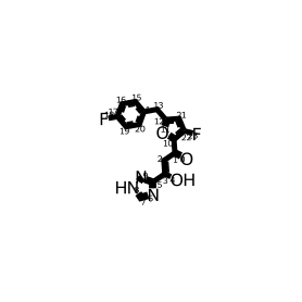 O=C(C=C(O)c1nc[nH]n1)c1oc(Cc2ccc(F)cc2)cc1F